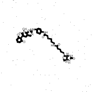 Cn1c(=O)c(-c2c(Cl)cccc2Cl)cc2cnc(Nc3ccc(NC(=O)CCCCCNC(=O)CCCC[C@@H]4SC[C@@H]5NC(=O)N[C@@H]54)cc3)nc21